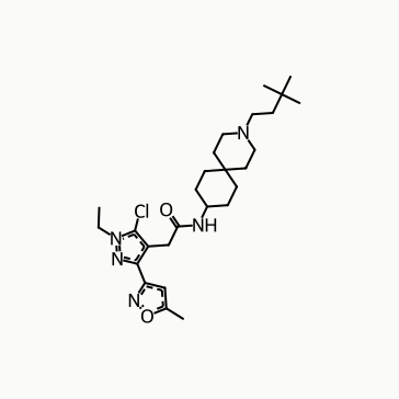 CCn1nc(-c2cc(C)on2)c(CC(=O)NC2CCC3(CC2)CCN(CCC(C)(C)C)CC3)c1Cl